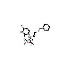 C/C=C1\[C@H]2C=C(C)C[C@]1(N=CC=Cc1ccccc1)c1ccc(=O)[nH]c1C2